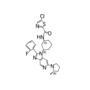 C[C@@H]1CCCN1c1cc2c(cn1)nc(-c1ccccc1F)n2[C@@H]1CCC[C@H](NC(=O)c2ncc(Cl)s2)C1